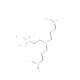 CCCN(CCC)CCCN(CCCN(CCC)CCC)CC[Si](C)(C)OC